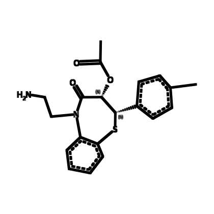 CC(=O)O[C@H]1C(=O)N(CCN)c2ccccc2S[C@H]1c1ccc(C)cc1